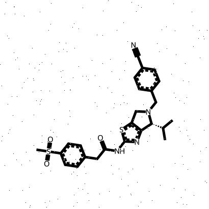 CC(C)[C@@H]1c2nc(NC(=O)Cc3ccc(S(C)(=O)=O)cc3)sc2CN1Cc1ccc(C#N)cc1